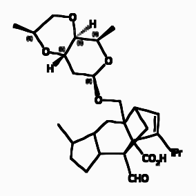 CC(C)C1=CC2CC3(C=O)C4CCC(C)C4CC2(CO[C@H]2C[C@@H]4O[C@@H](C)CO[C@H]4[C@@H](C)O2)C13C(=O)O